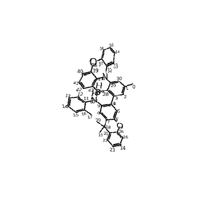 Cc1cc(-c2cc3c(cc2Nc2ccccc2C)C(C)(C)c2ccccc2O3)c2c(c1)N1c3ccccc3Oc3cccc(c31)B2